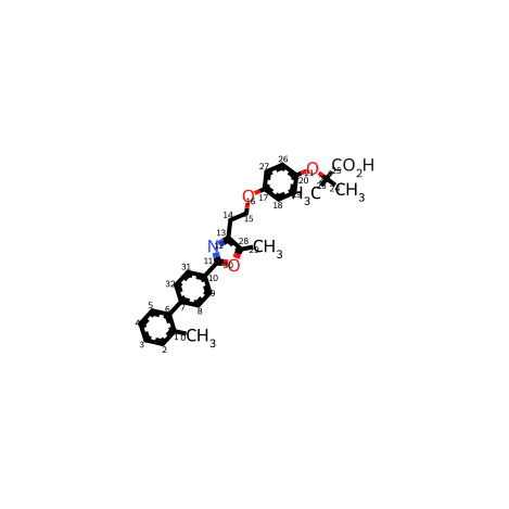 Cc1ccccc1-c1ccc(-c2nc(CCOc3ccc(OC(C)(C)C(=O)O)cc3)c(C)o2)cc1